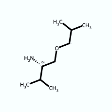 CC(C)[CH]OC[C@@H](N)C(C)C